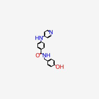 O=C(NCc1ccc(O)cc1)c1ccc(Nc2ccncc2)cc1